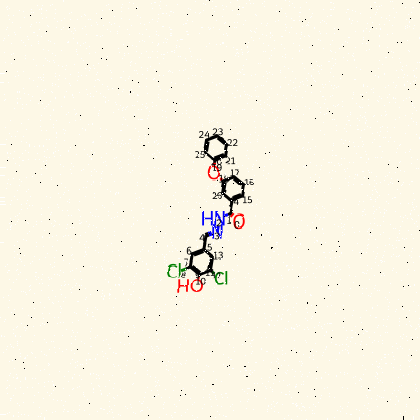 O=C(NN=Cc1cc(Cl)c(O)c(Cl)c1)c1cccc(Oc2ccccc2)c1